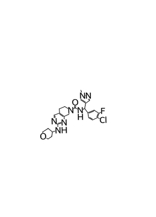 Cn1cc([C@H](NC(=O)N2CCc3cnc(NC4CCOCC4)nc3C2)c2ccc(Cl)c(F)c2)cn1